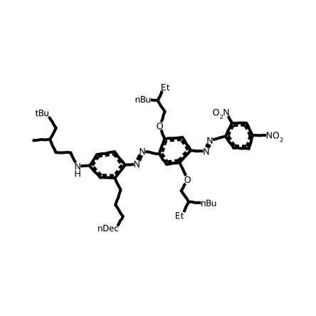 CCCCCCCCCCCCCc1cc(NCCC(C)CC(C)(C)C)ccc1N=Nc1cc(OCC(CC)CCCC)c(/N=N/c2ccc([N+](=O)[O-])cc2[N+](=O)[O-])cc1OCC(CC)CCCC